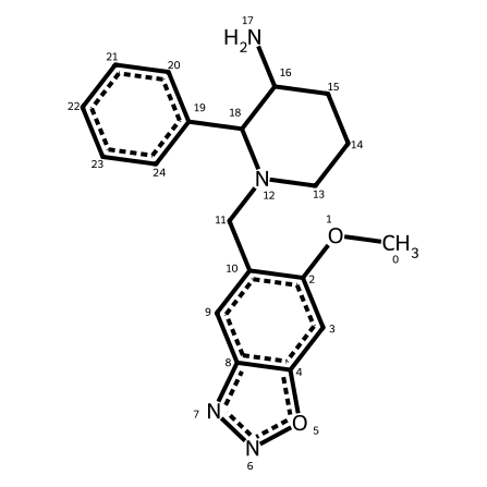 COc1cc2onnc2cc1CN1CCCC(N)C1c1ccccc1